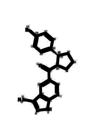 Nc1n[nH]c2ncc(C(=O)N3CCC[C@H]3c3ccc(Br)cc3)cc12